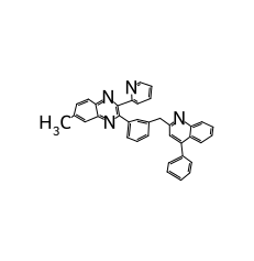 Cc1ccc2nc(-c3ccccn3)c(-c3cccc(Cc4cc(-c5ccccc5)c5ccccc5n4)c3)nc2c1